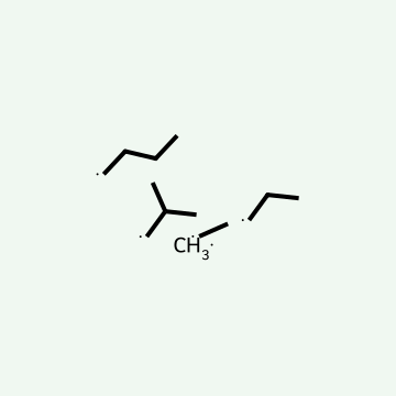 [CH2]C.[CH2]C(C)C.[CH2]CC.[CH2]CCC.[CH3]